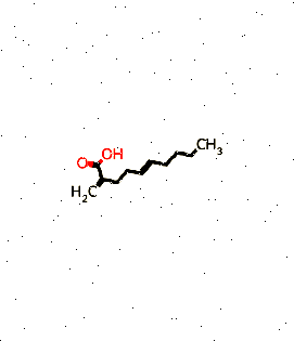 C=C(CCC=CCCCC)C(=O)O